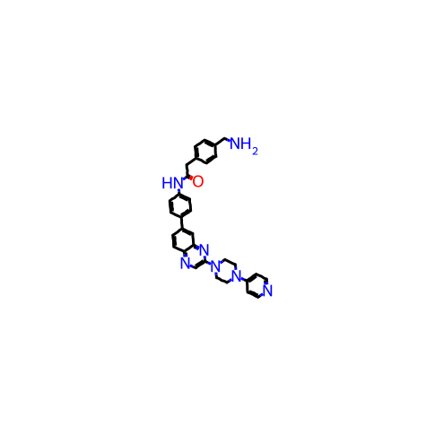 NCc1ccc(CC(=O)Nc2ccc(-c3ccc4ncc(N5CCN(c6ccncc6)CC5)nc4c3)cc2)cc1